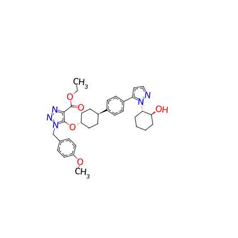 CCOC(=O)c1nnn(Cc2ccc(OC)cc2)c1O[C@H]1CC[C@H](c2ccc(-c3ccnn3[C@H]3CCCC[C@@H]3O)cc2)CC1